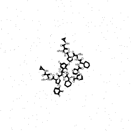 CCC[C@H](NC(=O)C1C[C@@H](Oc2cc(F)cc(C(C)(C)[C@H](NC(=O)[C@@H](NC(=O)c3cnccn3)C3CCCCC3)C(=O)N3C[C@H](Oc4cccc(F)c4F)CC3C(=O)N[C@@H](CCC)C(=O)C(=O)NC3CC3)c2F)CN1C(=O)[C@@H](NC(=O)[C@@H](NC(=O)c1cnccn1)C1CCCCC1)C(C)(C)C)C(=O)C(=O)NC1CC1